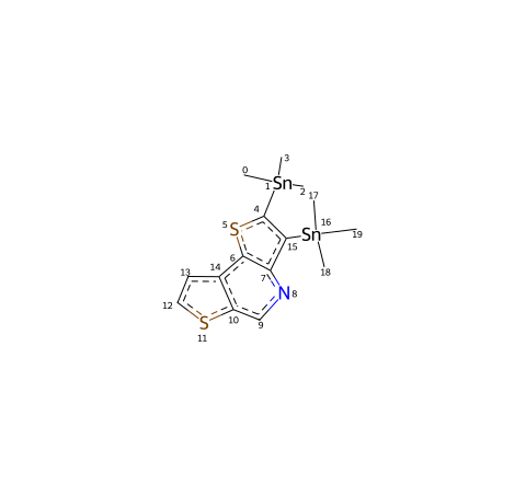 [CH3][Sn]([CH3])([CH3])[c]1sc2c(ncc3sccc32)[c]1[Sn]([CH3])([CH3])[CH3]